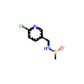 C[S+]([O-])NCc1ccc(Cl)nc1